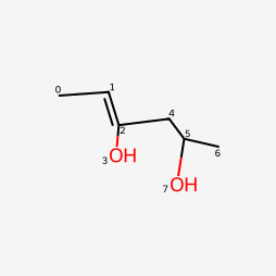 CC=C(O)CC(C)O